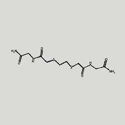 NC(=O)CNC(=O)CSCCSCC(=O)NCC(N)=O